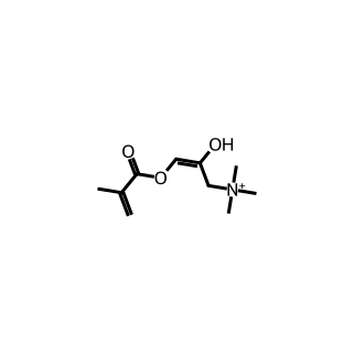 C=C(C)C(=O)O/C=C(/O)C[N+](C)(C)C